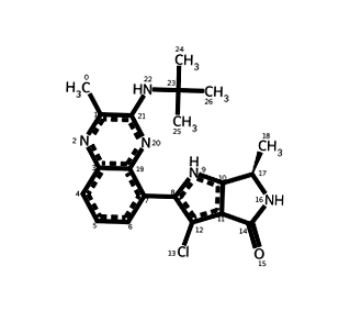 Cc1nc2cccc(-c3[nH]c4c(c3Cl)C(=O)N[C@@H]4C)c2nc1NC(C)(C)C